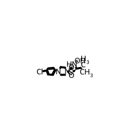 CC(C)[C@@H](CS(=O)(=O)N1CCN(c2ccc(Cl)cc2)CC1)NO